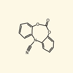 N#Cn1c2ccccc2oc(=O)oc2ccccc21